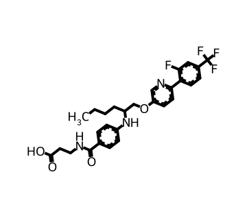 CCCCC(COc1ccc(-c2ccc(C(F)(F)F)cc2F)nc1)Nc1ccc(C(=O)NCCC(=O)O)cc1